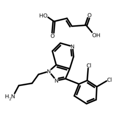 NCCCn1nc(-c2cccc(Cl)c2Cl)c2cnccc21.O=C(O)/C=C/C(=O)O